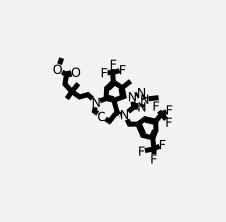 COC(=O)CC(C)(C)CCN1CCC[C@H](N(Cc2cc(C(F)(F)F)cc(C(F)(F)F)c2)c2nnn(C)n2)c2cc(C)c(C(F)(F)F)cc21